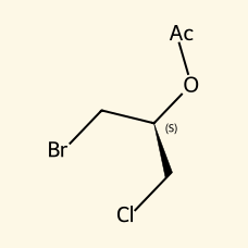 CC(=O)O[C@@H](CCl)CBr